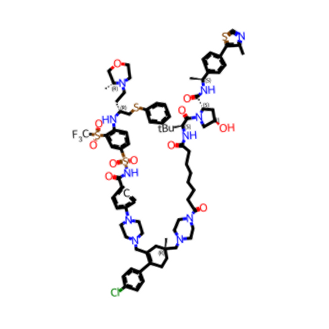 Cc1ncsc1-c1ccc([C@H](C)NC(=O)[C@@H]2C[C@@H](O)CN2C(=O)[C@@H](NC(=O)CCCCCCC(=O)N2CCN(C[C@]3(C)CCC(c4ccc(Cl)cc4)=C(CN4CCN(c5ccc(C(=O)NS(=O)(=O)c6ccc(N[C@H](CCN7CCOC[C@H]7C)CSc7ccccc7)c(S(=O)(=O)C(F)(F)F)c6)cc5)CC4)C3)CC2)C(C)(C)C)cc1